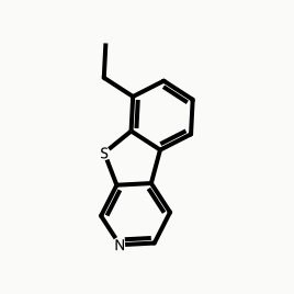 CCc1cccc2c1sc1cnccc12